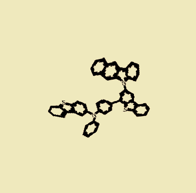 C1=c2sc3ccc(N(c4ccccc4)c4ccc(-c5cc(-n6c7ccccc7c7cc8ccccc8cc76)cc6c5sc5ccccc56)cc4)cc3c2=CCC1